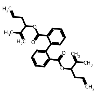 C=CCC(OC(=O)c1ccccc1-c1ccccc1C(=O)OC(CC=C)C(=C)C)C(=C)C